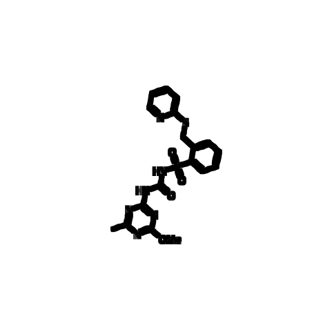 COc1nc(C)nc(NC(=O)NS(=O)(=O)c2ccccc2CSc2ccccn2)n1